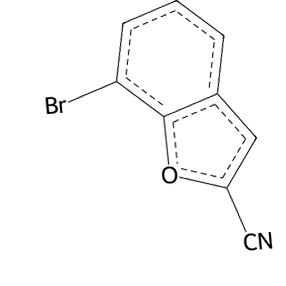 N#Cc1cc2cccc(Br)c2o1